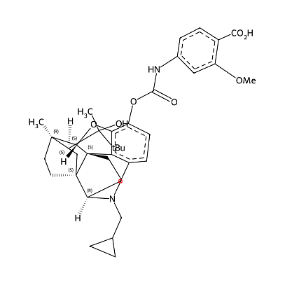 COc1cc(NC(=O)Oc2ccc3c4c2O[C@H]2[C@]5(C)CC[C@@]6(C[C@@H]5C(C)(O)C(C)(C)C)[C@@H](C3)N(CC3CC3)CC[C@]426)ccc1C(=O)O